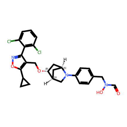 O=CN(O)Cc1ccc(N2C[C@@H]3C[C@H]2C[C@H]3OCc2c(-c3c(Cl)cccc3Cl)noc2C2CC2)cc1